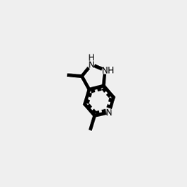 Cc1cc2c(cn1)NNC2C